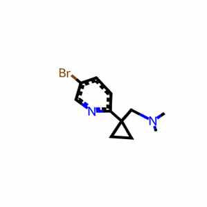 CN(C)CC1(c2ccc(Br)cn2)CC1